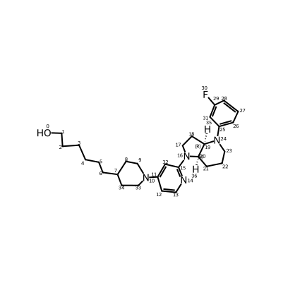 OCCCCCCC1CCN(c2ccnc(N3CC[C@@H]4[C@H]3CCCN4c3cccc(F)c3)c2)CC1